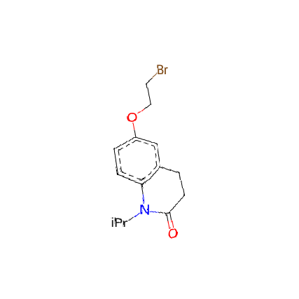 CC(C)N1C(=O)CCc2cc(OCCBr)ccc21